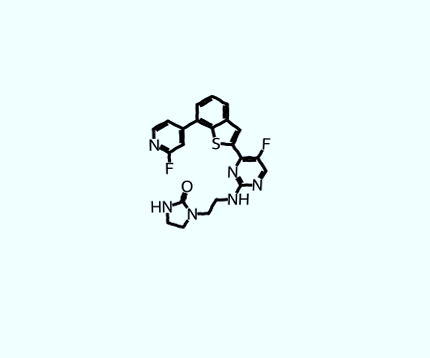 O=C1NCCN1CCNc1ncc(F)c(-c2cc3cccc(-c4ccnc(F)c4)c3s2)n1